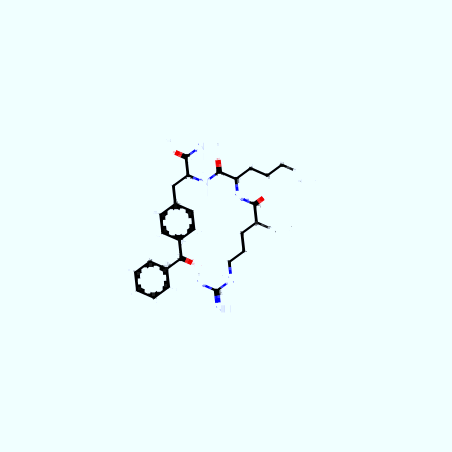 CC(=O)NC(CCCNC(=N)N)C(=O)NC(CCCC(=O)O)C(=O)NC(Cc1ccc(C(=O)c2ccccc2)cc1)C(N)=O